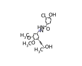 COc1cc(/C=N/NC(=O)c2ccc(O)c(Cl)c2)cc(C#CC(C)O)c1OC